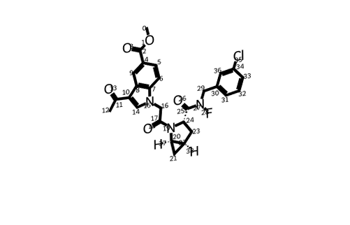 COC(=O)c1ccc2c(c1)c(C(C)=O)cn2CC(=O)N1[C@@H]2C[C@@H]2C[C@H]1C(=O)N(F)Cc1cccc(Cl)c1